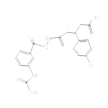 N=C(N)Nc1cccc(C(=O)NNC(=O)CC(CC(=O)O)c2ccc(Br)cc2)c1